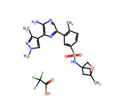 Cc1ccc(S(=O)(=O)NC23COC(C)(C2)C3)cc1-c1cnc(N)c(-c2cn(C)nc2C)n1.O=C(O)C(F)(F)F